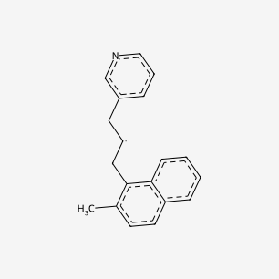 Cc1ccc2ccccc2c1C[CH]Cc1cccnc1